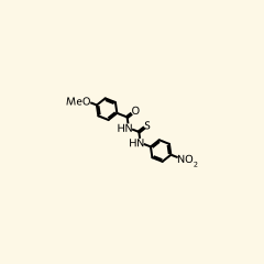 COc1ccc(C(=O)NC(=S)Nc2ccc([N+](=O)[O-])cc2)cc1